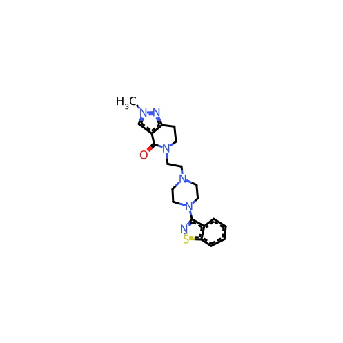 Cn1cc2c(n1)CCN(CCN1CCN(c3nsc4ccccc34)CC1)C2=O